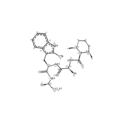 CC[C@@H](NC(=O)[C@@H](Cc1c(C#N)[nH]c2ccccc12)NC(=O)[C@@H](NC(=O)N1[C@H](C)CCC[C@@H]1C)C(C)C)C(=O)O